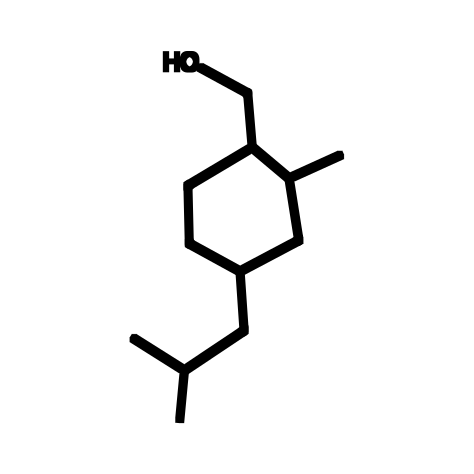 CC(C)CC1CCC(CO)C(C)C1